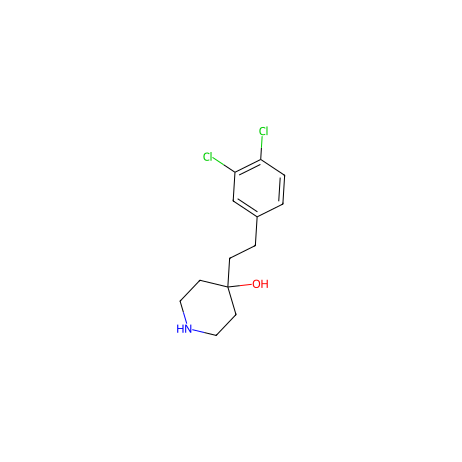 OC1(CCc2ccc(Cl)c(Cl)c2)CCNCC1